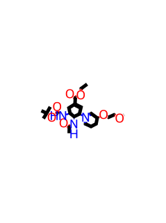 CCOC(=O)C1=C[C@@H](N2CCC[C@H](OCCOC)C2)[C@H](NC(C)=O)[C@@H](NC(=O)OC(C)(C)C)C1